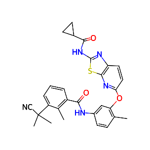 Cc1ccc(NC(=O)c2cccc(C(C)(C)C#N)c2C)cc1Oc1ccc2nc(NC(=O)C3CC3)sc2n1